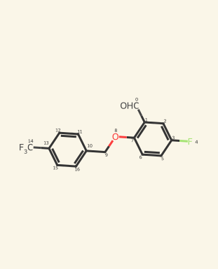 O=Cc1cc(F)ccc1OCc1ccc(C(F)(F)F)cc1